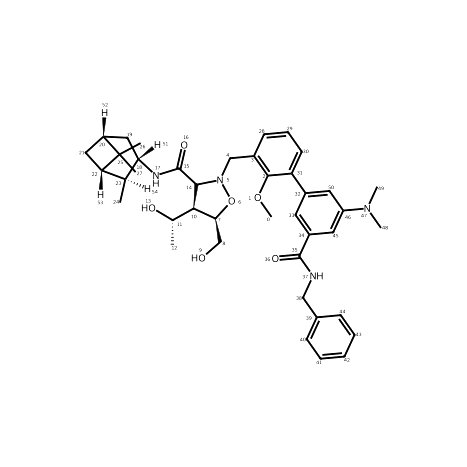 COc1c(CN2O[C@@H](CO)[C@@H]([C@H](C)O)C2C(=O)N[C@H]2C[C@H]3C[C@@H]([C@@H]2C)C3(C)C)cccc1-c1cc(C(=O)NCc2ccccc2)cc(N(C)C)c1